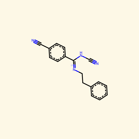 N#CN/C(=N\CCc1ccccc1)c1ccc(C#N)cc1